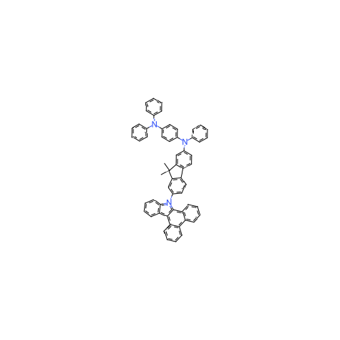 CC1(C)c2cc(N(c3ccccc3)c3ccc(N(c4ccccc4)c4ccccc4)cc3)ccc2-c2ccc(-n3c4ccccc4c4c5ccccc5c5ccccc5c43)cc21